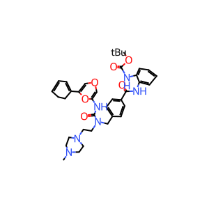 CN1CCN(CCN(Cc2ccc(C(=O)Nc3ccccc3NC(=O)OC(C)(C)C)cc2)C(=O)NC2=COC=C(C3=CC=CCC3)O2)CC1